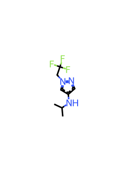 CC(C)Nc1cnn(CC(F)(F)F)c1